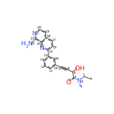 CCN(C)C(=O)[C@H](O)C#Cc1cccc(-c2ccc3ccnc(N)c3n2)c1